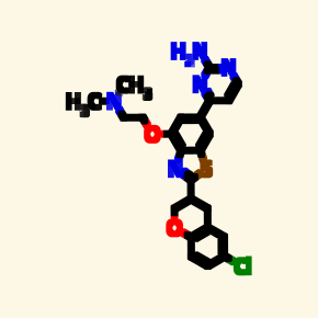 CN(C)CCOc1cc(-c2ccnc(N)n2)cc2sc(C3COc4ccc(Cl)cc4C3)nc12